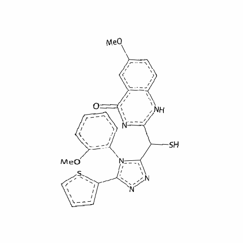 COc1ccc2[nH]c(C(S)c3nnc(-c4cccs4)n3-c3ccccc3OC)nc(=O)c2c1